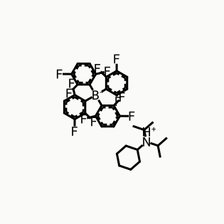 CC(C)[NH+](C(C)C)C1CCCCC1.Fc1ccc(F)c([B-](c2c(F)ccc(F)c2F)(c2c(F)ccc(F)c2F)c2c(F)ccc(F)c2F)c1F